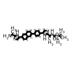 C[C@H](N)c1ncc(-c2ccc3cc(-c4ccc(-c5cnc([C@H](C)NC(=O)OC(C)(C)C)[nH]5)cc4)ccc3c2)[nH]1